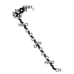 C#CCCCC(=O)NCCOCCOCCOCCC(=O)NCCOCCOCCOCCC(=O)NCCCCn1nc(-c2ccc3oc(N)nc3c2)c2c(N)ncnc21